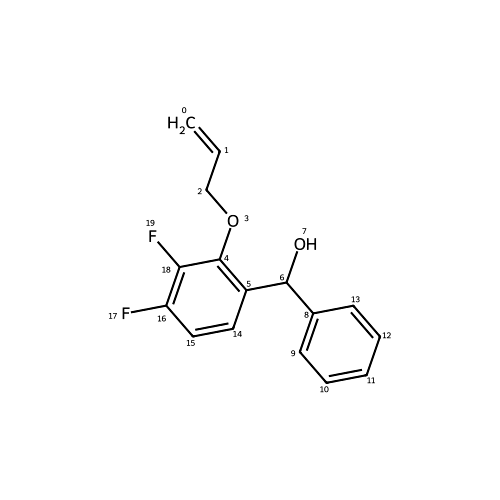 C=CCOc1c(C(O)c2ccccc2)ccc(F)c1F